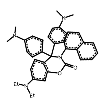 CCN(CC)c1ccc2c(c1)OC(=O)N(c1cccc3ccccc13)C2(c1ccc(N(C)C)cc1)c1ccc(N(C)C)cc1